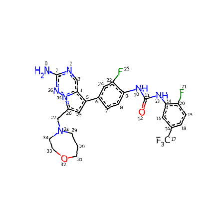 Nc1ncc2c(-c3ccc(NC(=O)Nc4cc(C(F)(F)F)ccc4F)c(F)c3)cc(CN3CCCOCC3)n2n1